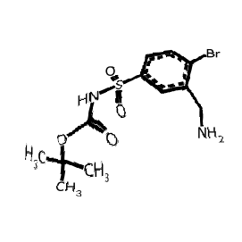 CC(C)(C)OC(=O)NS(=O)(=O)c1ccc(Br)c(CN)c1